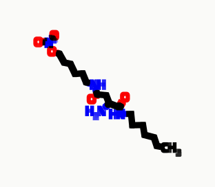 CCCCCCCNC(=O)C(N)CC(=O)NCCCCCCO[N+](=O)[O-]